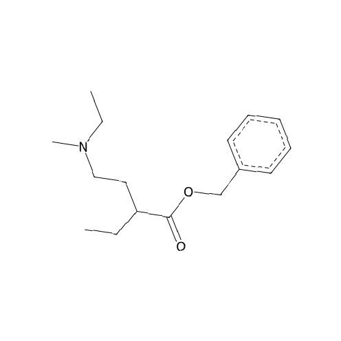 CCC(CCN(C)CC)C(=O)OCc1ccccc1